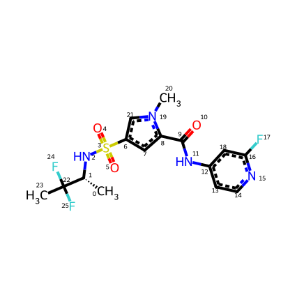 C[C@@H](NS(=O)(=O)c1cc(C(=O)Nc2ccnc(F)c2)n(C)c1)C(C)(F)F